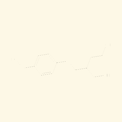 CCCC(CC)COc1ccc(OC)cc1